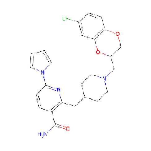 NC(=O)c1ccc(-n2cccc2)nc1CC1CCN(CC2COc3ccc(Cl)cc3O2)CC1